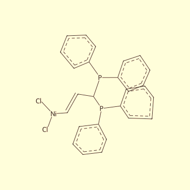 [Cl][Ni]([Cl])[CH]=CC(P(c1ccccc1)c1ccccc1)P(c1ccccc1)c1ccccc1